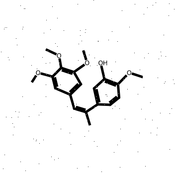 COc1ccc(/C(C)=C\c2cc(OC)c(OC)c(OC)c2)cc1O